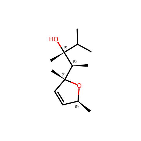 CC(C)[C@@](C)(O)[C@@H](C)[C@@]1(C)C=C[C@H](C)O1